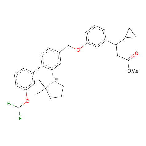 COC(=O)CC(c1cccc(OCc2ccc(-c3cccc(OC(F)F)c3)c([C@@H]3CCCC3(C)C)c2)c1)C1CC1